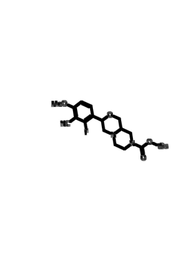 COc1ccc(C2CN3CCN(C(=O)OC(C)(C)C)CC3CO2)c(F)c1C#N